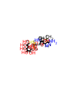 C=CSc1c(N)ncnc1C1O[C@H](COP(=O)(S)OP(=O)(O)OC2OC([C@@H](O)CO)C(O)C(O)C2O)[C@@H](NC)[C@@]1(C)O